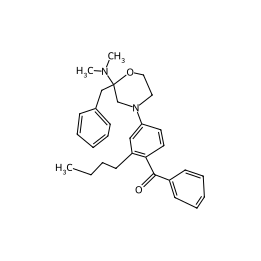 CCCCc1cc(N2CCOC(Cc3ccccc3)(N(C)C)C2)ccc1C(=O)c1ccccc1